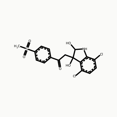 CS(=O)(=O)c1ccc(C(=O)CC2(O)c3c(Cl)ccc(Cl)c3NC2O)cc1